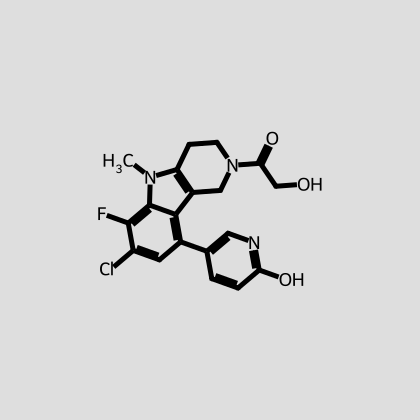 Cn1c2c(c3c(-c4ccc(O)nc4)cc(Cl)c(F)c31)CN(C(=O)CO)CC2